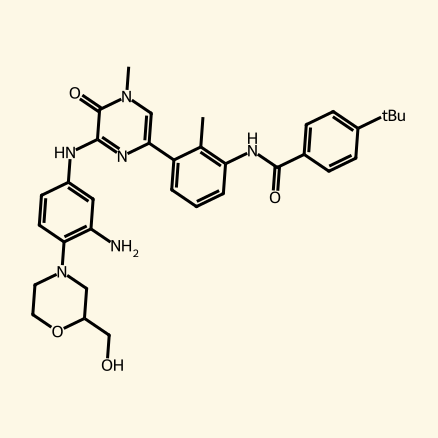 Cc1c(NC(=O)c2ccc(C(C)(C)C)cc2)cccc1-c1cn(C)c(=O)c(Nc2ccc(N3CCOC(CO)C3)c(N)c2)n1